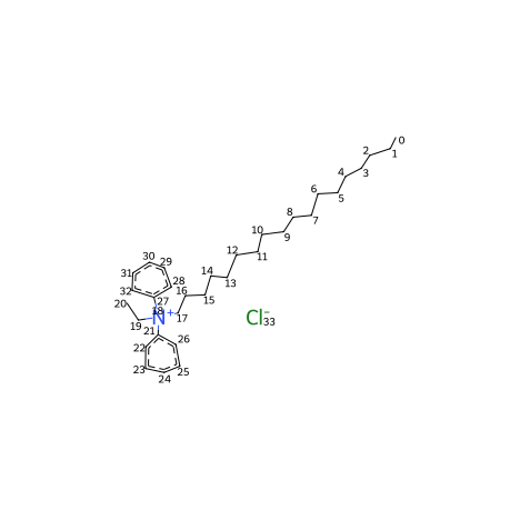 CCCCCCCCCCCCCCCCCC[N+](CC)(c1ccccc1)c1ccccc1.[Cl-]